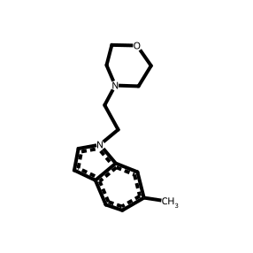 Cc1ccc2ccn(CCN3CCOCC3)c2c1